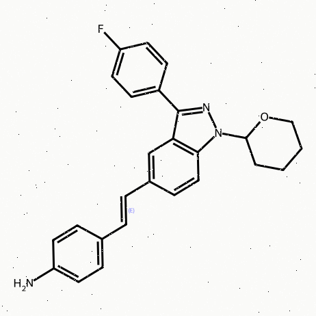 Nc1ccc(/C=C/c2ccc3c(c2)c(-c2ccc(F)cc2)nn3C2CCCCO2)cc1